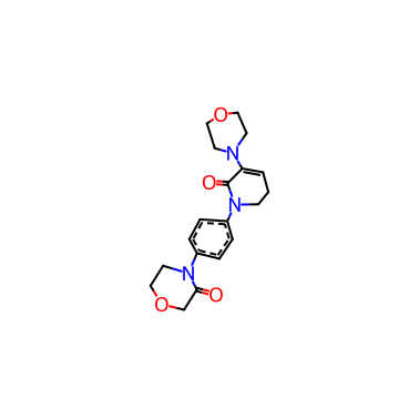 O=C1COCCN1c1ccc(N2CCC=C(N3CCOCC3)C2=O)cc1